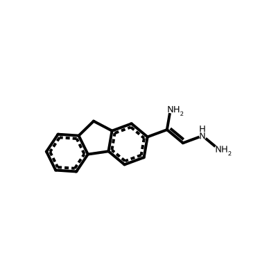 NN/C=C(\N)c1ccc2c(c1)Cc1ccccc1-2